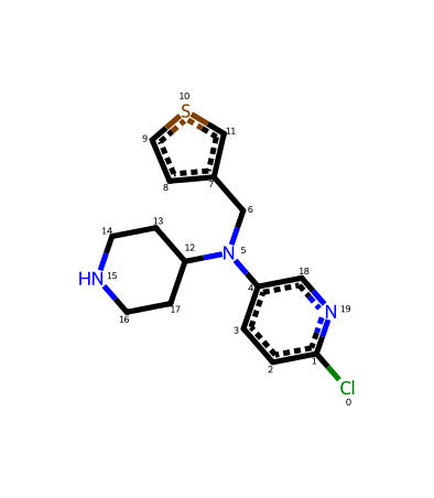 Clc1ccc(N(Cc2ccsc2)C2CCNCC2)cn1